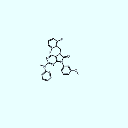 COc1cccc(-n2c(=O)n(Cc3c(F)cccc3F)c3cnc(N(C)c4ccccn4)nc32)c1